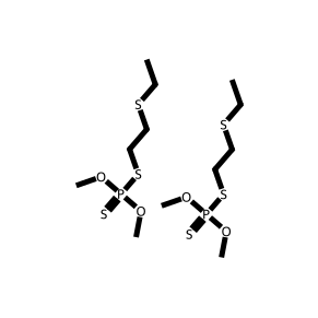 CCSCCSP(=S)(OC)OC.CCSCCSP(=S)(OC)OC